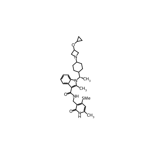 CSc1cc(C)[nH]c(=O)c1CNC(=O)c1c(C)n([C@H](C)C2CCC(N3CC(OC4CC4)C3)CC2)c2ccccc12